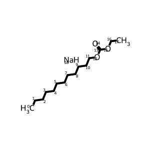 CCCCCCCCCCCCOC(=O)OCC.[NaH]